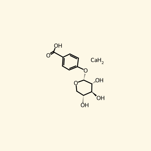 O=C(O)c1ccc(O[C@H]2OC[C@@H](O)[C@H](O)[C@H]2O)cc1.[CaH2]